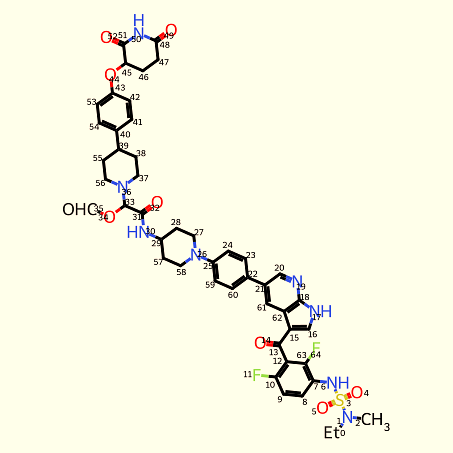 CCN(C)S(=O)(=O)Nc1ccc(F)c(C(=O)c2c[nH]c3ncc(-c4ccc(N5CCC(NC(=O)C(OC=O)N6CCC(c7ccc(OC8CCC(=O)NC8=O)cc7)CC6)CC5)cc4)cc23)c1F